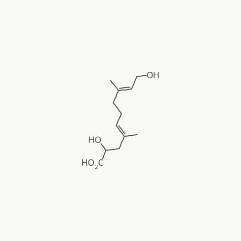 CC(=CCO)CCC=C(C)CC(O)C(=O)O